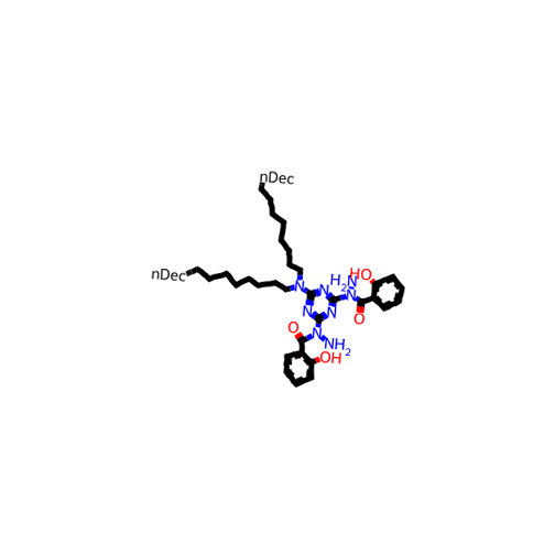 CCCCCCCCCCCCCCCCCCN(CCCCCCCCCCCCCCCCCC)c1nc(N(N)C(=O)c2ccccc2O)nc(N(N)C(=O)c2ccccc2O)n1